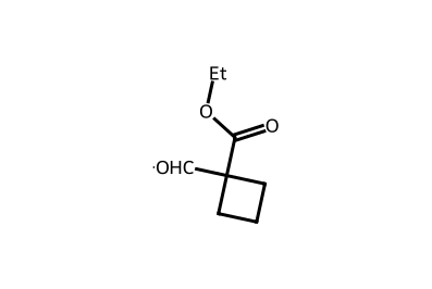 CCOC(=O)C1([C]=O)CCC1